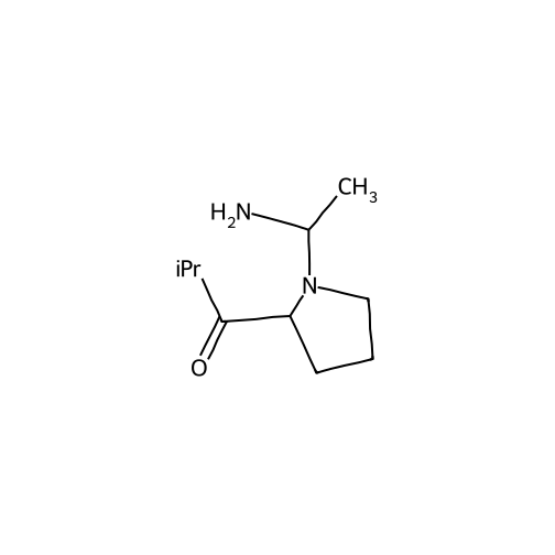 CC(C)C(=O)C1CCCN1C(C)N